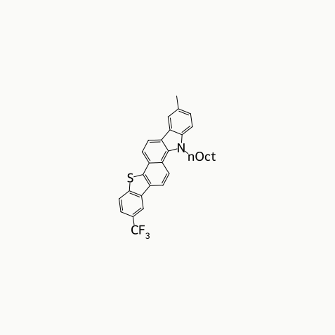 CCCCCCCCn1c2ccc(C)cc2c2ccc3c(ccc4c5cc(C(F)(F)F)ccc5sc43)c21